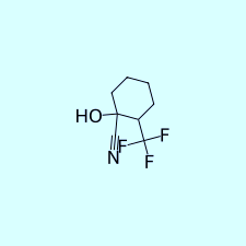 N#CC1(O)CCCCC1C(F)(F)F